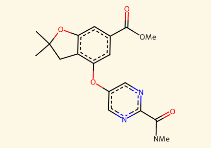 CNC(=O)c1ncc(Oc2cc(C(=O)OC)cc3c2CC(C)(C)O3)cn1